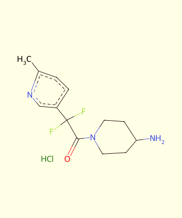 Cc1ccc(C(F)(F)C(=O)N2CCC(N)CC2)cn1.Cl